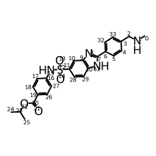 CNCc1ccc(-c2nc3cc(S(=O)(=O)Nc4ccc(C(=O)OC(C)C)cc4)ccc3[nH]2)cc1